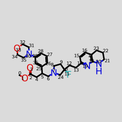 COC(=O)CC(CN1CCC(F)(CCc2ccc3c(n2)NCCC3)C1)c1cccc(N2CCOCC2)c1